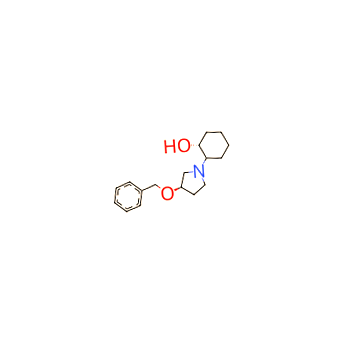 O[C@@H]1CCCCC1N1CC[C@@H](OCc2ccccc2)C1